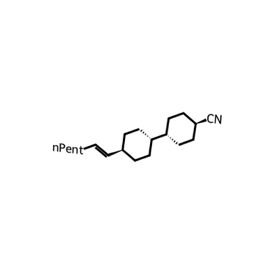 CCCCC/C=C/[C@H]1CC[C@H]([C@H]2CC[C@H](C#N)CC2)CC1